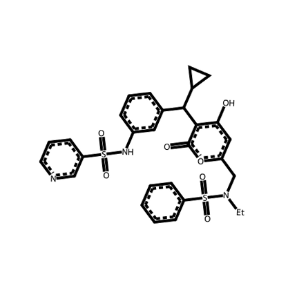 CCN(Cc1cc(O)c(C(c2cccc(NS(=O)(=O)c3cccnc3)c2)C2CC2)c(=O)o1)S(=O)(=O)c1ccccc1